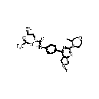 CC(C)N1Cc2nc(N3CCOCC3C)nc(-c3ccc(NC(=O)N(CCC#N)OC(=O)C(F)(F)F)cc3)c2C1